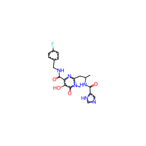 CC(Cc1nc(C(=O)NCc2ccc(F)cc2)c(O)c(=O)n1C)NC(=O)c1cnc[nH]1